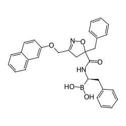 O=C(N[C@@H](Cc1ccccc1)B(O)O)C1(Cc2ccccc2)CC(COc2ccc3ccccc3c2)=NO1